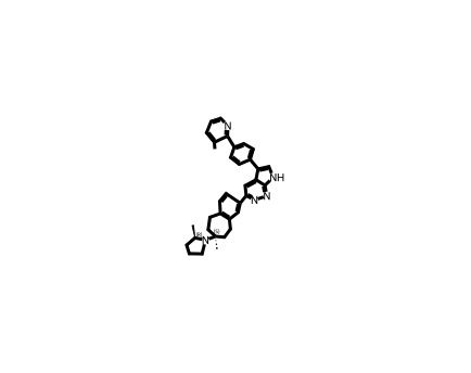 Cc1cccnc1-c1ccc(-c2c[nH]c3nnc(-c4ccc5c(c4)CC[C@@](C)(N4CCC[C@H]4C)CC5)cc23)cc1